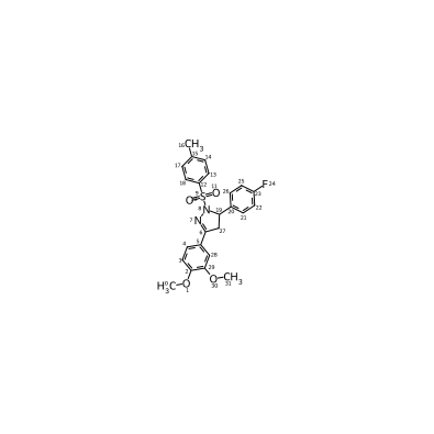 COc1ccc(C2=NN(S(=O)(=O)c3ccc(C)cc3)C(c3ccc(F)cc3)C2)cc1OC